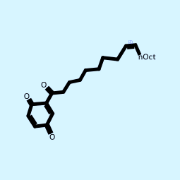 CCCCCCCC/C=C\CCCCCCCC(=O)C1=CC(=O)C=CC1=O